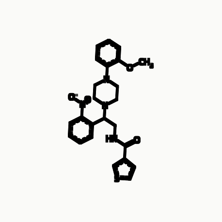 COc1ccccc1N1CCN(C(CNC(=O)c2ccsc2)c2ccccc2[N+](=O)[O-])CC1